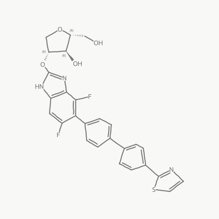 OC[C@H]1OC[C@@H](Oc2nc3c(F)c(-c4ccc(-c5ccc(-c6nccs6)cc5)cc4)c(F)cc3[nH]2)[C@@H]1O